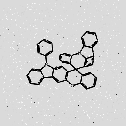 c1ccc(-n2c3ccccc3c3cc4c(cc32)C2(c3ccccc3O4)c3ccccc3-n3c4ccccc4c4cccc2c43)cc1